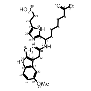 CCC(=O)CCCCCC(NC(=O)Cc1c(C)[nH]c2ccc(OC)cc12)c1ncc(CCC(=O)O)[nH]1